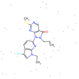 C=CCn1c(=O)c2cnc(SC)nc2n1-c1ccc2c(F)cn(CC)c2n1